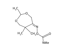 CNC(=O)ON=C1COC(C)OCC1(C)C